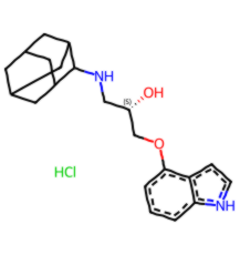 Cl.O[C@@H](CNC1C2CC3CC(C2)CC1C3)COc1cccc2[nH]ccc12